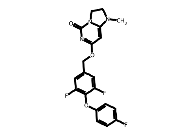 CN1CCn2c1cc(OCc1cc(F)c(Oc3ccc(F)cc3)c(F)c1)nc2=O